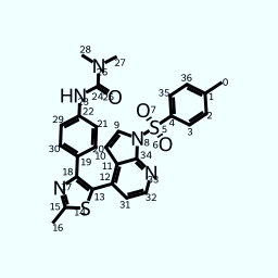 Cc1ccc(S(=O)(=O)n2ccc3c(-c4sc(C)nc4-c4ccc(NC(=O)N(C)C)cc4)ccnc32)cc1